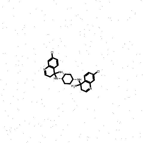 NC1(N[C@H]2CC[C@@H](NC3(N)CC=Nc4cc(Cl)ccc43)CC2)CC=Nc2cc(Cl)ccc21